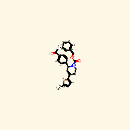 COC(=O)c1ccc(C2C=C(c3ccc(C)s3)CCN2C(=O)OCc2ccccc2)cc1